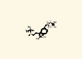 [2H]c1[nH]c2ccc(CS(=O)(=O)NC([2H])([2H])[2H])cc2c1CCN(C)C([2H])([2H])[2H]